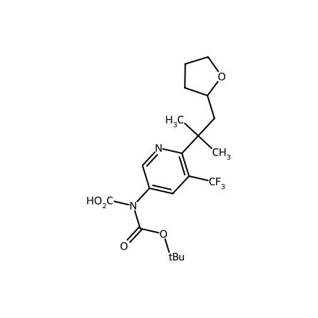 CC(C)(C)OC(=O)N(C(=O)O)c1cnc(C(C)(C)CC2CCCO2)c(C(F)(F)F)c1